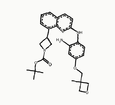 CC1(COc2ccc(Nc3ccc4cccc(C5CN(C(=O)OC(C)(C)C)C5)c4n3)c(N)c2)COC1